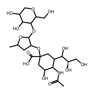 CC(=O)NC1C(O)CC(OC2CC(C)OC2OC2C(CO)OCC(O)C2O)(C(=O)O)CC1C(O)[C@H](O)CO